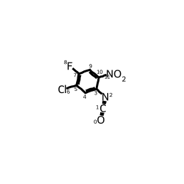 O=C=Nc1cc(Cl)c(F)cc1[N+](=O)[O-]